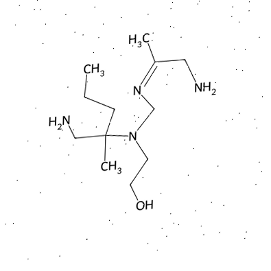 CCCC(C)(CN)N(CCO)C/N=C(/C)CN